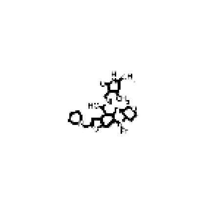 CCc1c(N(CC)C2CCOCC2)cc2oc(CN3CCCCC3)cc2c1C(O)NCc1c(C)cc(C)[nH]c1=O